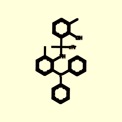 CCCC(C)(Pc1c(C)cccc1P(c1ccccc1)c1ccccc1)c1cccc(C)c1O